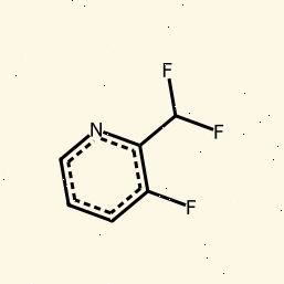 Fc1cccnc1C(F)F